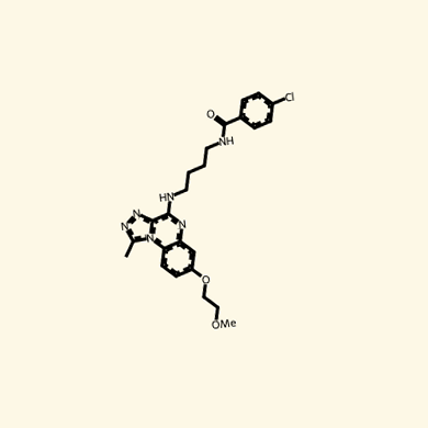 COCCOc1ccc2c(c1)nc(NCCCCNC(=O)c1ccc(Cl)cc1)c1nnc(C)n12